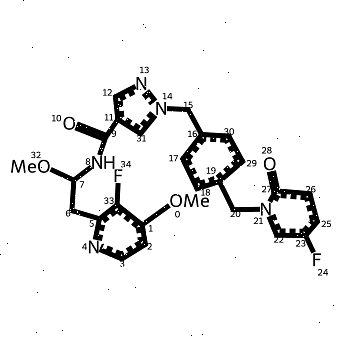 COc1ccnc(CC(NC(=O)c2cnn(Cc3ccc(Cn4cc(F)ccc4=O)cc3)c2)OC)c1F